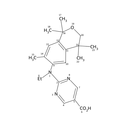 CCN(c1ncc(C(=O)O)cn1)c1cc2c(cc1C)C(C)(C)OCC2(C)C